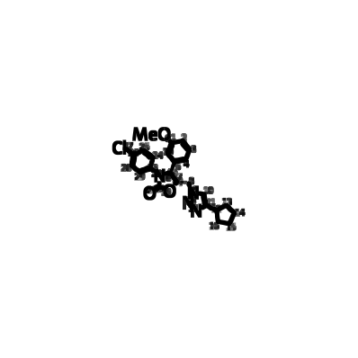 COc1cccc([C@H]2[C@H](Cn3cc(C4CCCC4)nn3)OC(=O)N2c2ccc(Cl)cc2)c1